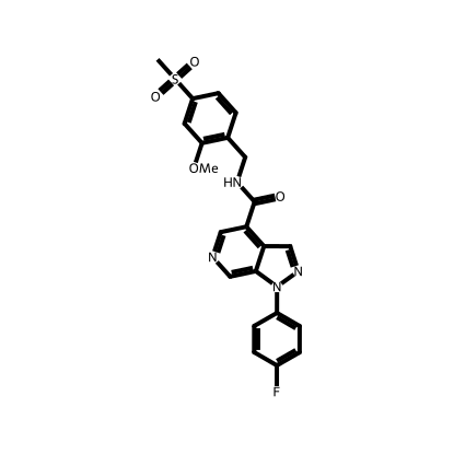 COc1cc(S(C)(=O)=O)ccc1CNC(=O)c1cncc2c1cnn2-c1ccc(F)cc1